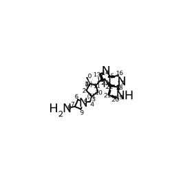 C[C@@H]1C[C@H](CN2CC(N)C2)CC1c1cnc2cnc3[nH]ccc3n12